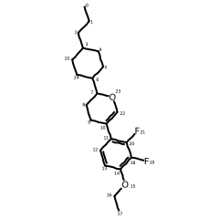 CCCC1CCC(C2CCC(c3ccc(OCC)c(F)c3F)=CO2)CC1